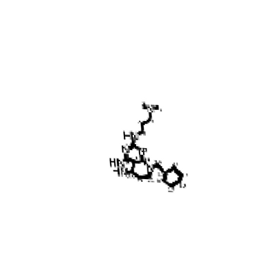 CN(C)CCCNc1nc2c3c(n1)N(Cc1ccccc1)CCC3NN2